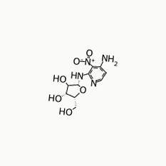 Nc1ccnc(N[C@@H]2O[C@H](CO)[C@H](O)C2O)c1[N+](=O)[O-]